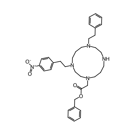 O=C(CN1CCCNCCN(CCc2ccccc2)CCCN(CCc2ccc([N+](=O)[O-])cc2)CC1)OCc1ccccc1